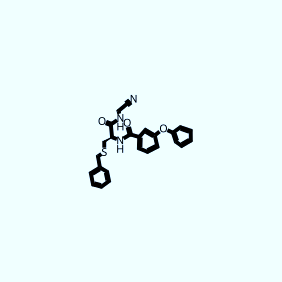 N#CCNC(=O)[C@H](CSCc1ccccc1)NC(=O)c1cccc(Oc2ccccc2)c1